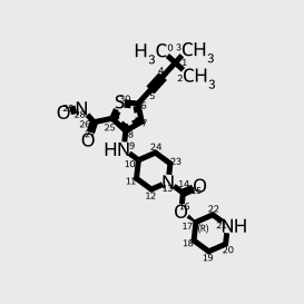 CC(C)(C)C#Cc1cc(NC2CCN(C(=O)O[C@@H]3CCCNC3)CC2)c(C(=O)N=O)s1